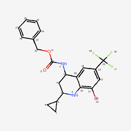 O=C(NC1CC(C2CC2)Nc2c(Br)cc(C(F)(F)F)cc21)OCc1ccccc1